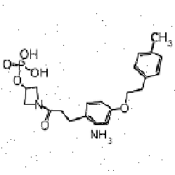 Cc1ccc(CCOc2ccc(CCC(=O)N3CC(OP(=O)(O)O)C3)cc2)cc1.N